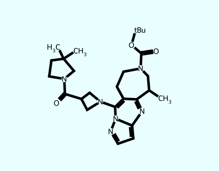 CC1CN(C(=O)OC(C)(C)C)CCc2c1nc1ccnn1c2N1CC(C(=O)N2CCC(C)(C)C2)C1